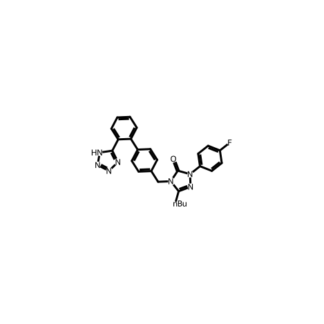 CCCCc1nn(-c2ccc(F)cc2)c(=O)n1Cc1ccc(-c2ccccc2-c2nnn[nH]2)cc1